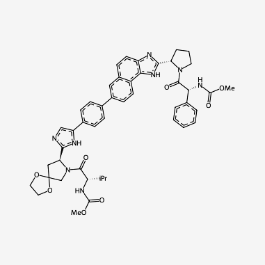 COC(=O)N[C@H](C(=O)N1CC2(C[C@H]1c1ncc(-c3ccc(-c4ccc5c(ccc6nc([C@@H]7CCCN7C(=O)[C@H](NC(=O)OC)c7ccccc7)[nH]c65)c4)cc3)[nH]1)OCCO2)C(C)C